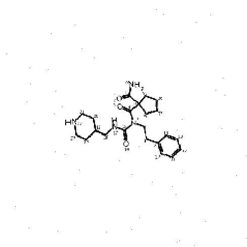 NC(=O)C1(C(=O)N(CCc2ccccc2)C(=O)NCC2CCNCC2)CCCC1